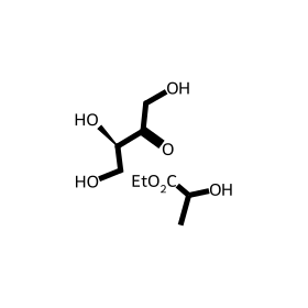 CCOC(=O)C(C)O.O=C(CO)[C@H](O)CO